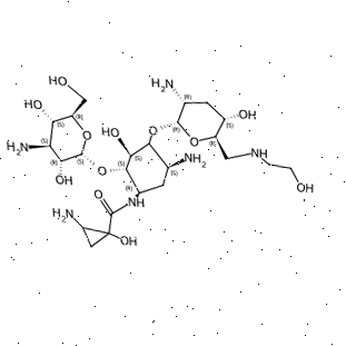 NC1CC1(O)C(=O)N[C@@H]1C[C@H](N)C(O[C@H]2O[C@H](CNCCO)[C@@H](O)C[C@H]2N)[C@H](O)[C@H]1O[C@H]1O[C@H](CO)[C@@H](O)[C@H](N)[C@H]1O